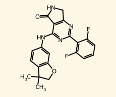 CC1(C)COc2cc(Nc3nc(-c4c(F)cccc4F)nc4c3C(=O)NC4)ccc21